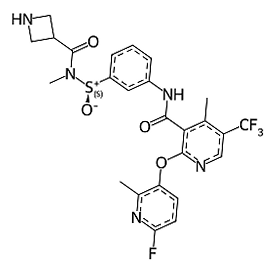 Cc1nc(F)ccc1Oc1ncc(C(F)(F)F)c(C)c1C(=O)Nc1cccc([S@@+]([O-])N(C)C(=O)C2CNC2)c1